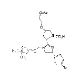 COCCOC1CC(c2nc(-c3ccc(Br)cc3)cn2COCC[Si](C)(C)C)N(C(=O)O)C1